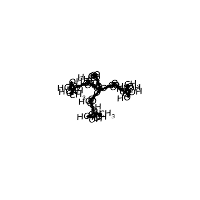 COP(=O)(O)OCCCCOCC(COCCCOP(=O)(O)OCCCCO[C@@H]1OC(CO)[C@H](O)[C@H](O)C1NC(C)=O)(COCCCOP(=O)(O)OCCCCO[C@@H]1OC(CO)[C@H](O)[C@H](O)C1NC(C)=O)COCCCOP(=O)(O)OCCCCO[C@@H]1OC(CO)[C@H](O)[C@H](O)C1NC(C)=O